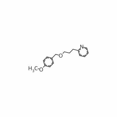 COc1ccc(COCCCc2ccccn2)cc1